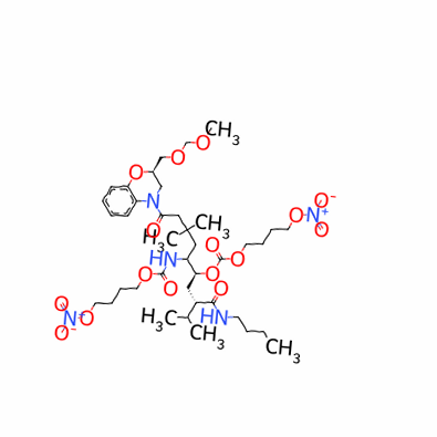 CCCCNC(=O)[C@@H](C[C@H](OC(=O)OCCCCO[N+](=O)[O-])C(CC(C)(C)CC(=O)N1C[C@H](COCOC)Oc2ccccc21)NC(=O)OCCCCO[N+](=O)[O-])C(C)C